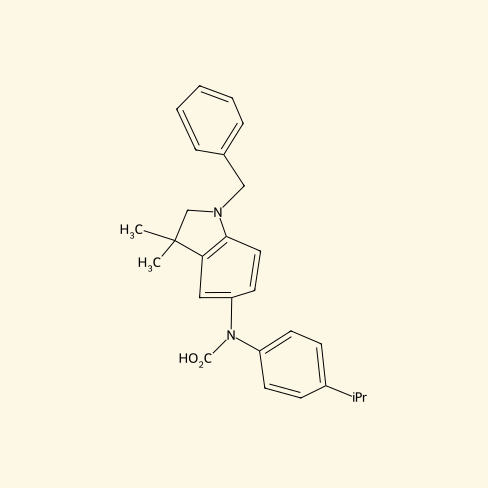 CC(C)c1ccc(N(C(=O)O)c2ccc3c(c2)C(C)(C)CN3Cc2ccccc2)cc1